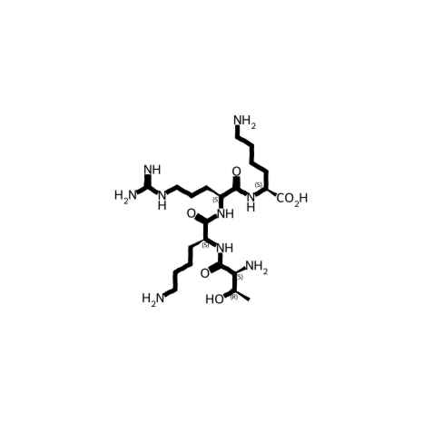 C[C@@H](O)[C@H](N)C(=O)N[C@@H](CCCCN)C(=O)N[C@@H](CCCNC(=N)N)C(=O)N[C@@H](CCCCN)C(=O)O